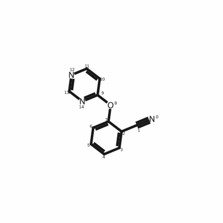 N#Cc1ccccc1Oc1ccn[c]n1